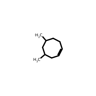 [CH2]C1CC/C=C\CC(C)C1